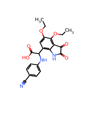 CCOc1cc(C(Nc2ccc(C#N)cc2)C(=O)O)c2c(c1OCC)C(=O)C(=O)N2